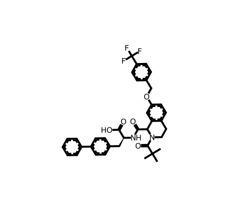 CC(C)(C)C(=O)N1CCc2ccc(OCc3ccc(C(F)(F)F)cc3)cc2C1C(=O)N[C@@H](Cc1ccc(-c2ccccc2)cc1)C(=O)O